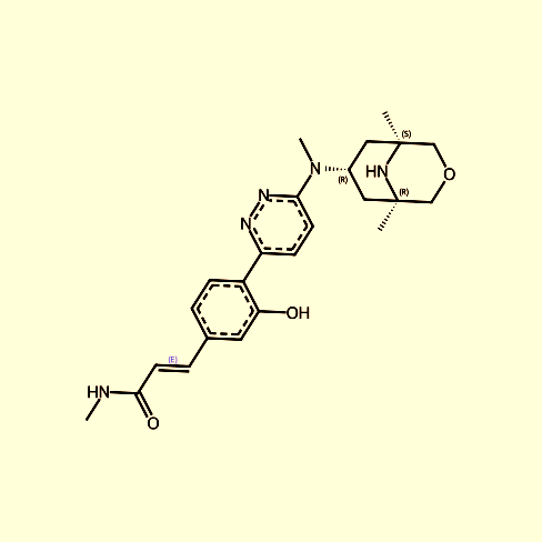 CNC(=O)/C=C/c1ccc(-c2ccc(N(C)[C@H]3C[C@]4(C)COC[C@](C)(C3)N4)nn2)c(O)c1